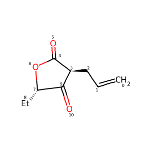 C=CC[C@@H]1C(=O)O[C@@H](CC)C1=O